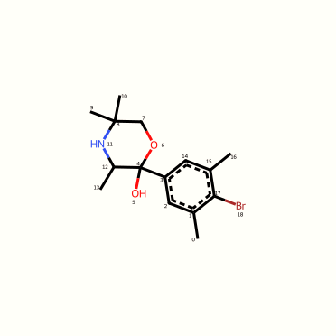 Cc1cc(C2(O)OCC(C)(C)NC2C)cc(C)c1Br